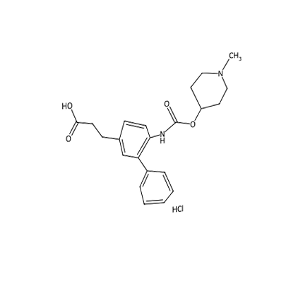 CN1CCC(OC(=O)Nc2ccc(CCC(=O)O)cc2-c2ccccc2)CC1.Cl